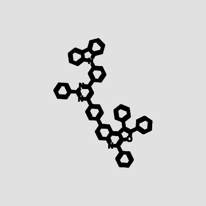 c1ccc(-c2nc(-c3ccc(-c4ccc5nc(-c6ccccc6)c6oc(-c7ccccc7)c(-c7ccccc7)c6c5c4)cc3)cc(-c3cccc(-n4c5ccccc5c5ccccc54)c3)n2)cc1